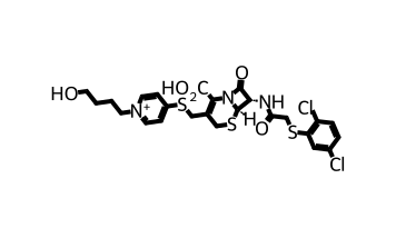 O=C(CSc1cc(Cl)ccc1Cl)N[C@H]1C(=O)N2C(C(=O)O)=C(CSc3cc[n+](CCCCO)cc3)CS[C@H]12